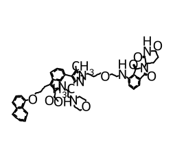 Cc1nn(CCCOCCNc2cccc3c2C(=O)N(C2CCC(=O)NC2=O)C3=O)c(C)c1-c1cccc2c(CCCOc3cccc4ccccc34)c(C(=O)O)n(CCN3CCOCC3)c12